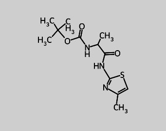 Cc1csc(NC(=O)C(C)NC(=O)OC(C)(C)C)n1